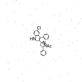 CC(=O)N1N=C(C2=C(c3ccccc3)c3cc(Cl)ccc3NC2)CC1c1ccccc1